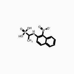 CC(Nc1ccc2ccccc2c1[N+](=O)[O-])P(=O)(O)O